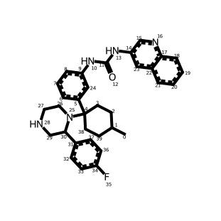 CC1CCC(c2cccc(NC(=O)Nc3cnc4ccccc4c3)c2)(N2CCNCC2c2ccc(F)cc2)CC1